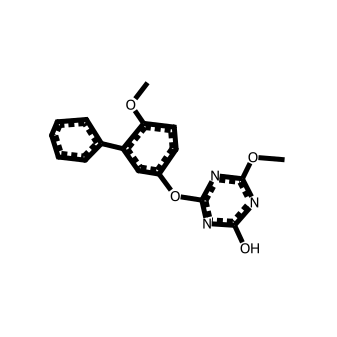 COc1nc(O)nc(Oc2ccc(OC)c(-c3ccccc3)c2)n1